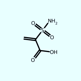 C=C(C(=O)O)S(N)(=O)=O